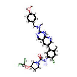 COc1ccc(CN(C)c2ncc3cc(-c4cc(NC(=O)N5CCC(OC(F)F)C5)c(F)cc4C)cnc3n2)cc1